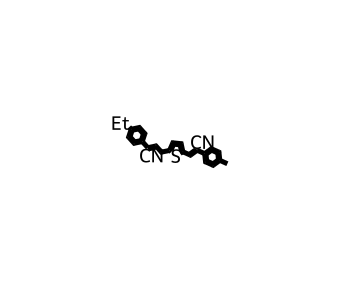 CCc1ccc(/C(C#N)=C/Cc2ccc(/C=C(\C#N)c3ccc(C)cc3)s2)cc1